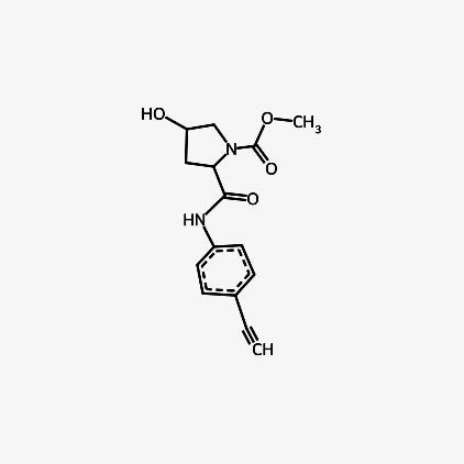 C#Cc1ccc(NC(=O)C2CC(O)CN2C(=O)OC)cc1